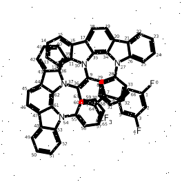 Fc1cc(F)cc(-c2cc(-n3c4ccccc4c4ccc5c6ccccc6n(-c6ccccc6)c5c43)c(-n3c4ccccc4c4ccc5c6ccccc6n(-c6ccccc6)c5c43)cc2C(F)(F)F)c1